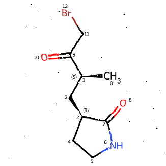 C[C@@H](C[C@@H]1CCNC1=O)C(=O)CBr